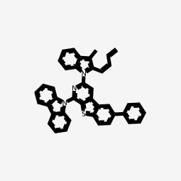 C=C/C=C\c1c(C)c2ccccc2n1-c1cc2c(sc3ccc(-c4ccccc4)cc32)c(-n2c3ccccc3c3ccccc32)n1